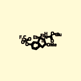 CCC1(CC)c2cc(OS(=O)(=O)C(F)(F)F)ccc2C[C@H](OC)[C@H]1NC(=O)OC(C)(C)C